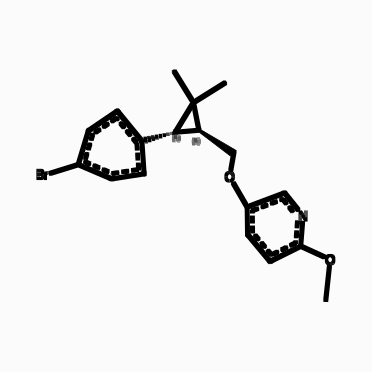 COc1ccc(OC[C@H]2[C@H](c3ccc(Br)cc3)C2(C)C)cn1